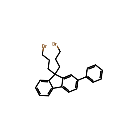 BrCCCC1(CCCBr)c2ccccc2-c2ccc(-c3ccccc3)cc21